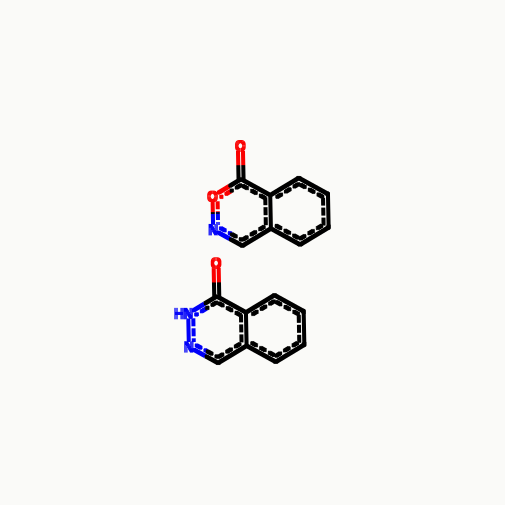 O=c1[nH]ncc2ccccc12.O=c1oncc2ccccc12